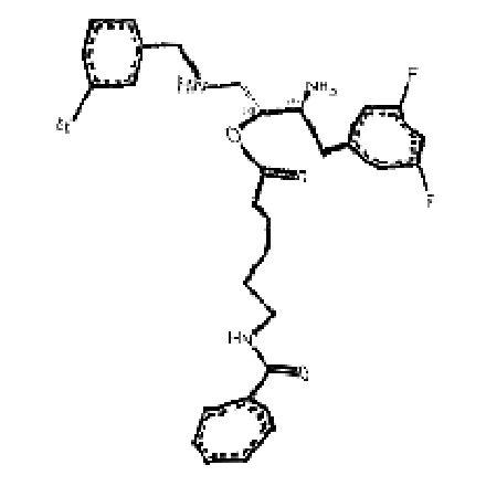 CCc1cccc(CNC[C@@H](OC(=O)CCCCNC(=O)c2ccccc2)[C@@H](N)Cc2cc(F)cc(F)c2)c1